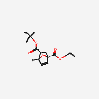 CCOC(=O)[C@@]12C=C[C@@H](O1)[C@@H](C(=O)OC(C)(C)C)C2